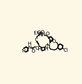 CC[C@@H]1CC/C=C/[C@H](OCC(=O)Nc2ccncc2)[C@@H]2CC[C@H]2CN2CCCCc3cc(Cl)ccc3COc3ccc(cc32)C(=O)NS1(=O)=O